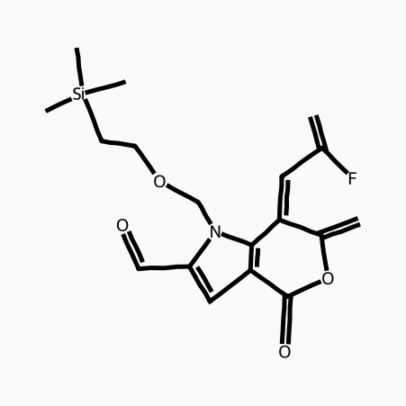 C=C(F)/C=c1\c(=C)oc(=O)c2cc(C=O)n(COCC[Si](C)(C)C)c12